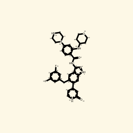 O=C(Nc1n[nH]c2cc(-c3cc[nH]c(=O)c3)c(Cc3cc(F)cc(F)c3)cc12)c1ccc(N2CCNCC2)cc1NC1CCOCC1